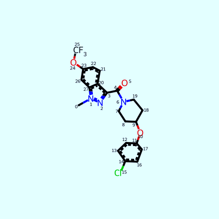 Cn1nc(C(=O)N2CCC(Oc3ccc(Cl)cc3)CC2)c2ccc(OC(F)(F)F)cc21